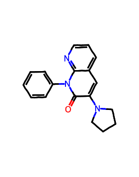 O=c1c(N2CCCC2)cc2cccnc2n1-c1ccccc1